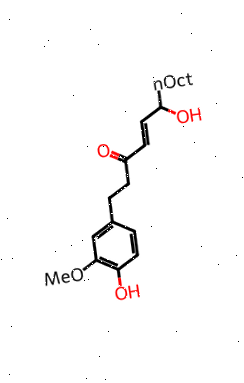 CCCCCCCCC(O)/C=C/C(=O)CCc1ccc(O)c(OC)c1